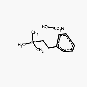 C[N+](C)(C)CCc1ccccc1.O=C(O)O